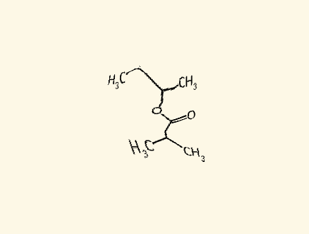 C[CH]C(C)OC(=O)C(C)C